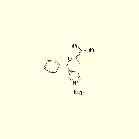 CC[n+]1ccn(C(OC(C)=C(C(C)C)C(C)C)c2ccccc2)c1.[Br-]